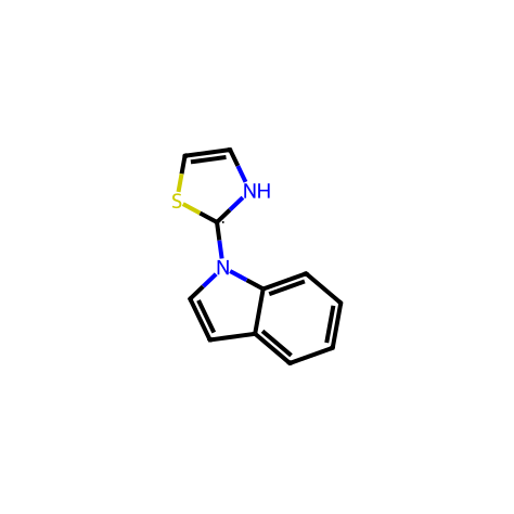 C1=CS[C](n2ccc3ccccc32)N1